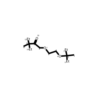 CCC(C)(CC)OCCOCC(=O)C(C)(CC)CC